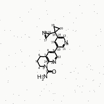 NC(=O)N1CCCc2cc(-c3cncc(C4(C5C=N5)CC4)c3)cnc21